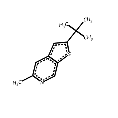 Cc1cc2cc(C(C)(C)C)sc2cn1